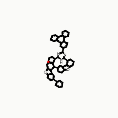 c1ccc(-c2ccc3oc4cccc(-c5ccc6oc7cccc(C8=NC(c9ccc%10c%11ccccc%11c%11ccccc%11c%10c9)=NC(c9ccccc9)N8)c7c6c5)c4c3c2)cc1